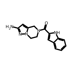 Nc1cc2n(n1)CCN(C(=O)c1cc3ccccc3[nH]1)C2